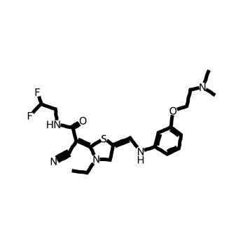 CCN1CC(=CNc2cccc(OCCN(C)C)c2)SC1=C(C#N)C(=O)NCC(F)F